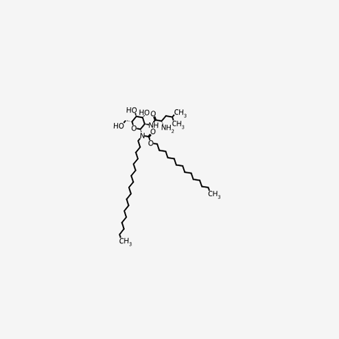 CCCCCCCCCCCCCCCCCCN(C(=O)OCCCCCCCCCCCCCC)[C@@H]1O[C@H](CO)[C@@H](O)[C@H](O)[C@H]1NC(=O)[C@@H](N)CC(C)C